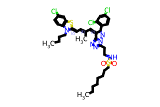 CCCCCCCCS(=O)(=O)NCCc1nnc2\c(=C/C(C)=C/C=C3\Sc4cc(Cl)ccc4N3CCCC)c(-c3ccc(Cl)cc3Cl)nn12